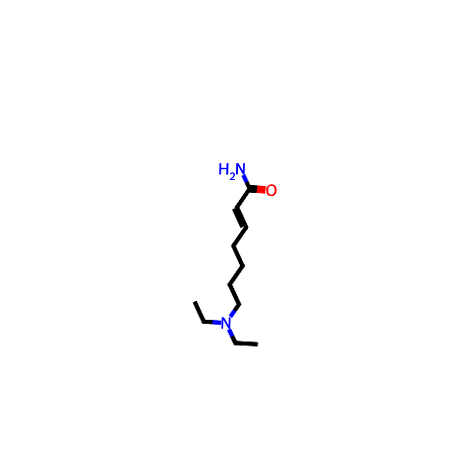 CCN(CC)CCCCC=CC(N)=O